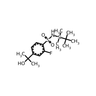 CC(C)(O)c1ccc(S(=O)(=O)N[Si](C)(C)C(C)(C)C)c(F)c1